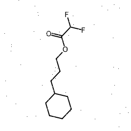 O=C(OCCCC1CCCCC1)C(F)F